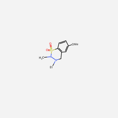 CCN1Cc2cc(OC)ccc2S(=O)(=O)N1C